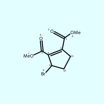 COC(=O)C1=C(C(=O)OC)C(Br)CC1